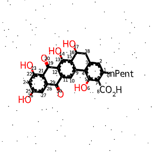 CCCCCc1cc2c(c(O)c1C(=O)O)-c1cc3c(c(O)c1C(O)C2)C(=O)c1c(O)cc(O)cc1C3=O